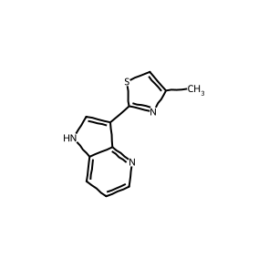 Cc1csc(-c2c[nH]c3cccnc23)n1